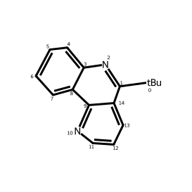 CC(C)(C)c1nc2ccccc2c2ncccc12